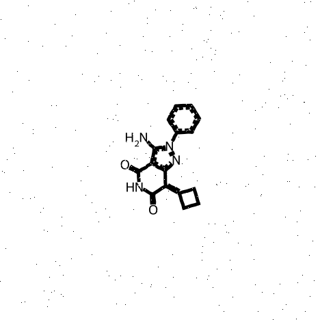 Nc1c2c(nn1-c1ccccc1)C(=C1CCC1)C(=O)NC2=O